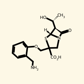 C[C@@H](O)[C@H]1C(=O)N2CC(COc3ccccc3CN)(C(=O)O)S[C@H]12